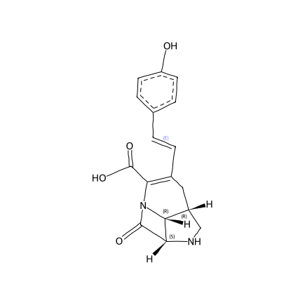 O=C(O)C1=C(/C=C/c2ccc(O)cc2)C[C@@H]2CN[C@@H]3C(=O)N1[C@H]23